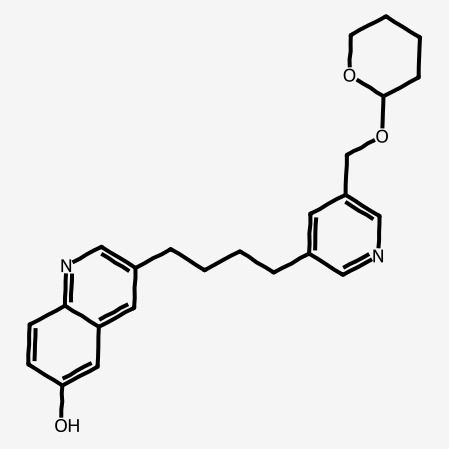 Oc1ccc2ncc(CCCCc3cncc(COC4CCCCO4)c3)cc2c1